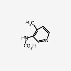 Cc1ccncc1NC(=O)O